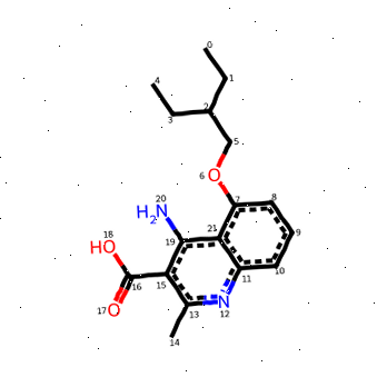 CCC(CC)COc1cccc2nc(C)c(C(=O)O)c(N)c12